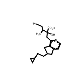 CC(C)CC(N)C(O)(Cc1nccc2c1CC(CCC1CC1)C2)C(=O)O